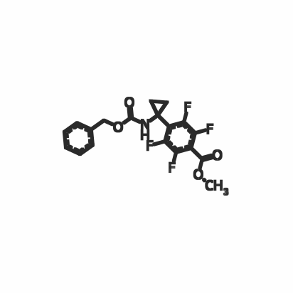 COC(=O)c1c(F)c(F)c(C2(NC(=O)OCc3ccccc3)CC2)c(F)c1F